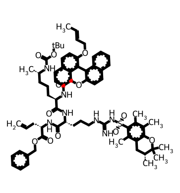 C=CC[C@H](NC(=O)[C@@H](CCCNC(=N)NS(=O)(=O)c1c(C)c(C)c2c(c1C)C[C@@H](C)C(C)(C)O2)NC(=O)[C@@H](CCC[C@H](C)NC(=O)OC(C)(C)C)NC(=O)COc1ccc2ccccc2c1-c1c(OC/C=C/C)ccc2ccccc12)C(=O)OCc1ccccc1